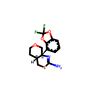 NC1=N[C@@]2(c3cccc4c3OC(F)(F)O4)COCC[C@H]2CS1